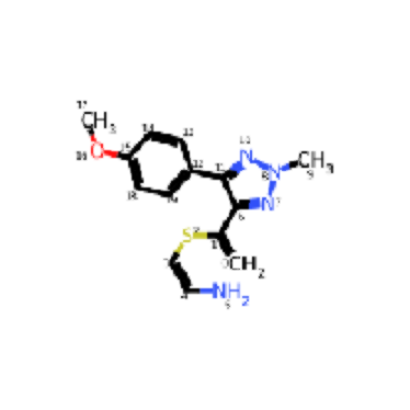 C=C(S/C=C\N)c1nn(C)nc1-c1ccc(OC)cc1